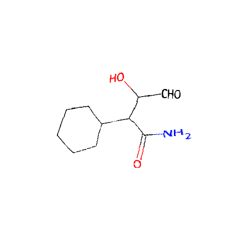 NC(=O)C(C(O)C=O)C1CCCCC1